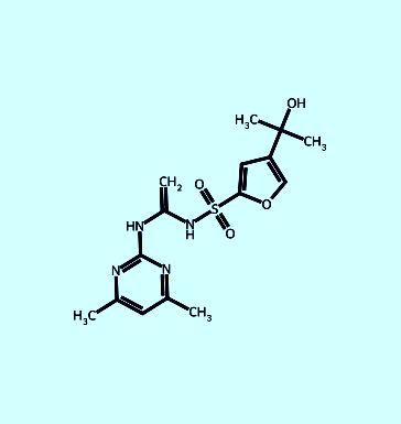 C=C(Nc1nc(C)cc(C)n1)NS(=O)(=O)c1cc(C(C)(C)O)co1